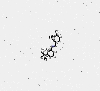 COc1c(/C=C/c2ccc(=O)[nH]n2)cccc1S(C)(=O)=O